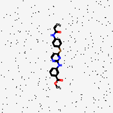 C=CC(=O)Nc1ccc(Sc2ccnc(Nc3cccc(C(=O)OC)c3)n2)cc1